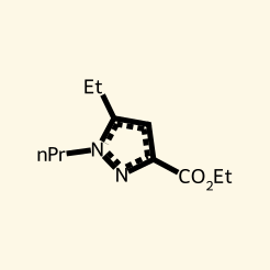 CCCn1nc(C(=O)OCC)cc1CC